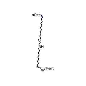 CCCCC/C=C\C/C=C\CCCCCCCCNCCOCCCCCCCCCC/C=C\CCCCCCCC